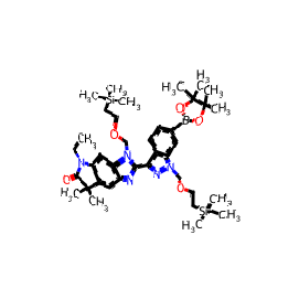 CCN1C(=O)C(C)(C)c2cc3nc(-c4nn(COCC[Si](C)(C)C)c5cc(B6OC(C)(C)C(C)(C)O6)ccc45)n(COCC[Si](C)(C)C)c3cc21